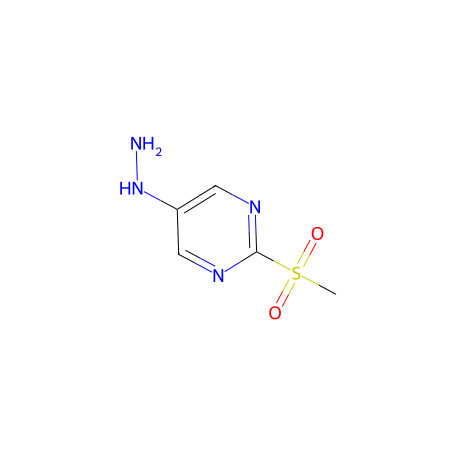 CS(=O)(=O)c1ncc(NN)cn1